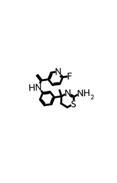 C=C(Nc1cccc(C2(C)CCSC(N)=N2)c1)c1ccc(F)nc1